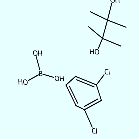 CC(C)(O)C(C)(C)O.Clc1cccc(Cl)c1.OB(O)O